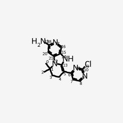 CC1(C)CCC(c2ccnc(Cl)n2)=C2Nc3cnc(N)cc3N21